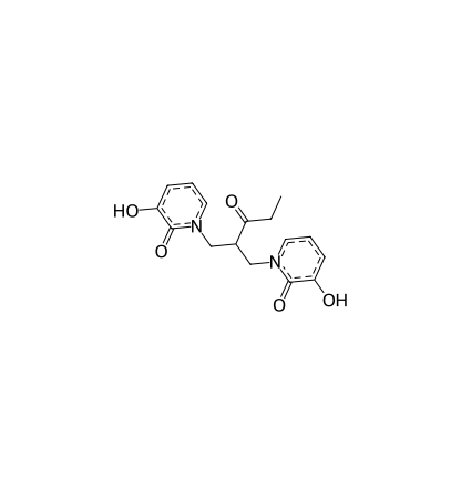 CCC(=O)C(Cn1cccc(O)c1=O)Cn1cccc(O)c1=O